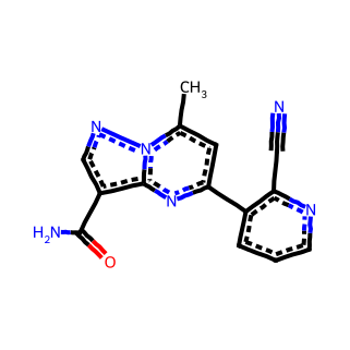 Cc1cc(-c2cccnc2C#N)nc2c(C(N)=O)cnn12